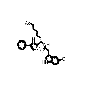 CC(=O)CCCCC[C@H](NC(=O)Cc1c[nH]c2ccc(O)cc12)C1=[N+]C=C(c2ccccc2)N1